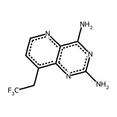 Nc1nc(N)c2nccc(CC(F)(F)F)c2n1